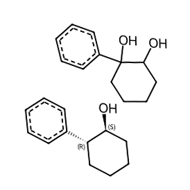 OC1CCCCC1(O)c1ccccc1.O[C@H]1CCCC[C@@H]1c1ccccc1